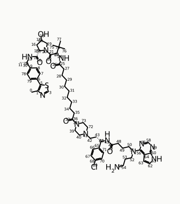 Cc1ncsc1-c1ccc([C@H](C)NC(=O)[C@@H]2C[C@@H](O)CN2C(=O)[C@@H](NC(=O)CCCCCCCCCC(=O)N2CCN(CC[C@H](NC(=O)CCCN(CCCN)c3ncnc4[nH]ccc34)c3ccc(Cl)cc3)CC2)C(C)(C)C)cc1